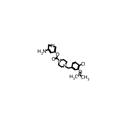 CN(C)Oc1cc(CN2CCN(C(=O)Oc3cncc(N)c3)CC2)ccc1Cl